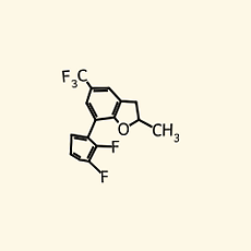 CC1Cc2cc(C(F)(F)F)cc(-c3cccc(F)c3F)c2O1